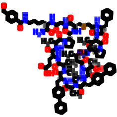 CC(C)[C@H](NC(=O)[C@H](Cc1ccccc1)NC(=O)CSC[C@H](NC(=O)[C@@H]1CCCN1C(=O)[C@H](C)NC(=O)[C@H](CCC(=O)O)NC(=O)[C@H](C)N(C)C(=O)[C@H](Cc1ccc(-c2ccccc2)cc1)NC(=O)[C@H](C)N(C)C(=O)[C@H](Cc1ccc(-c2ccccc2)cc1)NC(=O)[C@@H](NC(=O)C[C@@H](C)O)[C@@H](C)O)C(=O)NCC(=O)N[C@@H](CCCCNC(=O)c1ccc(C=O)cc1)C(N)=O)C(=O)N1CCC[C@H]1C(N)=O